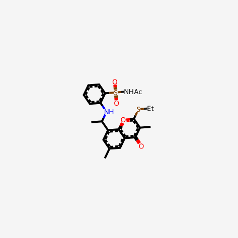 CCSc1oc2c(C(C)Nc3ccccc3S(=O)(=O)NC(C)=O)cc(C)cc2c(=O)c1C